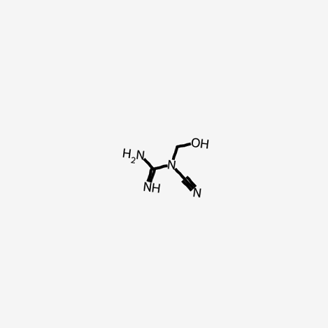 N#CN(CO)C(=N)N